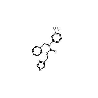 [CH2]c1cccc(N(Cc2ccccc2)C(=O)OCc2cncs2)c1